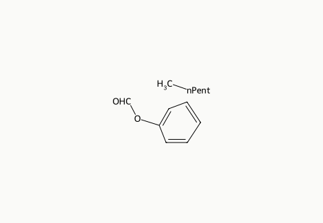 CCCCCC.O=COc1ccccc1